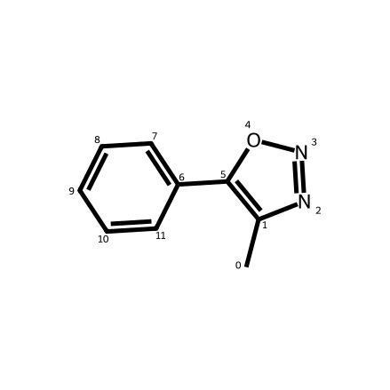 Cc1nnoc1-c1ccccc1